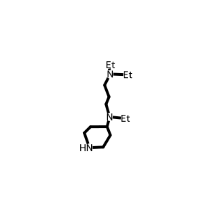 CCN(CC)CCCN(CC)C1CCNCC1